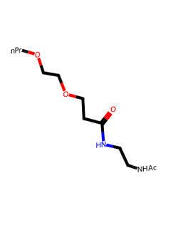 CCCOCCOCCC(=O)NCCNC(C)=O